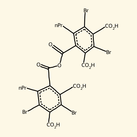 CCCc1c(Br)c(C(=O)O)c(Br)c(C(=O)O)c1C(=O)OC(=O)c1c(CCC)c(Br)c(C(=O)O)c(Br)c1C(=O)O